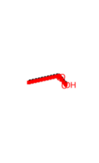 CCCCCCCCCCCCCCCCCCCCC(C)OC(=O)CCCCC(=O)O